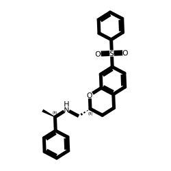 C[C@@H](NC[C@H]1CCc2ccc(S(=O)(=O)C3C=CC=CC3)cc2O1)c1ccccc1